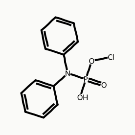 O=P(O)(OCl)N(c1ccccc1)c1ccccc1